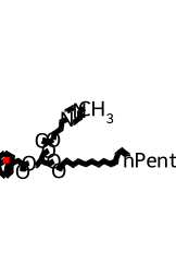 CCCCC/C=C\C/C=C\CCCCCCCC(=O)OCC(COC(=O)CC12CC3CC(CC(C3)C1)C2)COC(=O)OCCCN1CCN(C)CC1